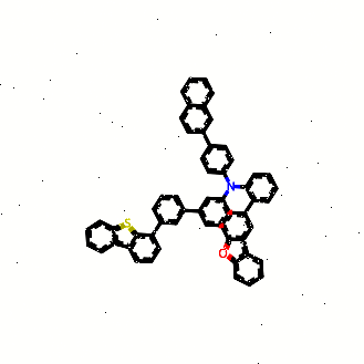 c1cc(-c2cccc(N(c3ccc(-c4ccc5ccccc5c4)cc3)c3ccccc3-c3ccc4oc5ccccc5c4c3)c2)cc(-c2cccc3c2sc2ccccc23)c1